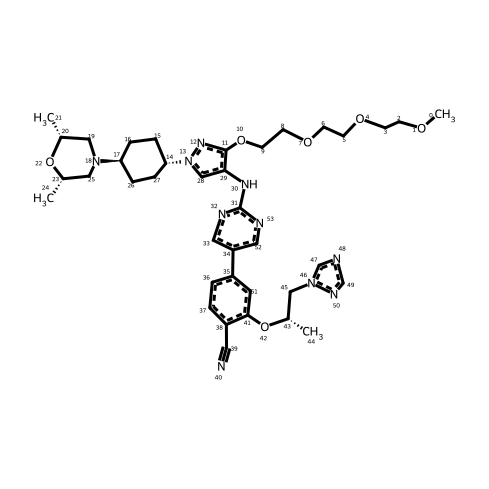 COCCOCCOCCOc1nn([C@H]2CC[C@H](N3C[C@@H](C)O[C@@H](C)C3)CC2)cc1Nc1ncc(-c2ccc(C#N)c(O[C@@H](C)Cn3cncn3)c2)cn1